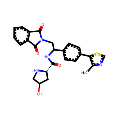 Cc1ncsc1-c1ccc(C(CN2C(=O)c3ccccc3C2=O)NC(=O)[C@@H]2C[C@@H](O)CN2)cc1